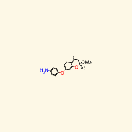 CCC1(OC)CC(C)=C2CC=C(Oc3ccc(N)cc3)C=C2O1